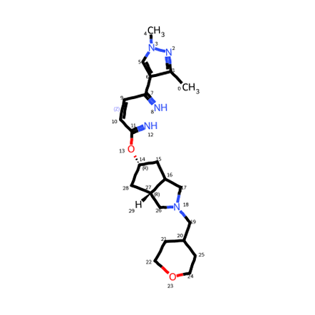 Cc1nn(C)cc1C(=N)/C=C\C(=N)O[C@@H]1CC2CN(CC3CCOCC3)C[C@@H]2C1